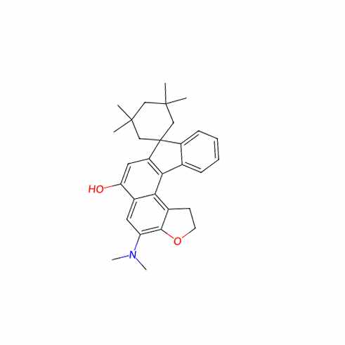 CN(C)c1cc2c(O)cc3c(c2c2c1OCC2)-c1ccccc1C31CC(C)(C)CC(C)(C)C1